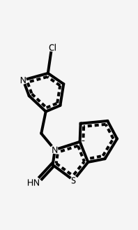 N=c1sc2ccccc2n1Cc1ccc(Cl)nc1